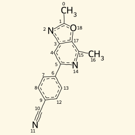 Cc1nc2cc(-c3ccc(C#N)cc3)nc(C)c2o1